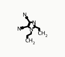 C=CCn1c(C=C)nc(C#N)c1C#N